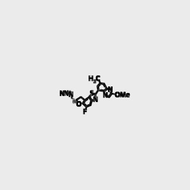 COc1cnc2c(-c3nc4cc(F)c5c(c4s3)C[C@@H](CN=[N+]=[N-])O5)cc(C)cc2n1